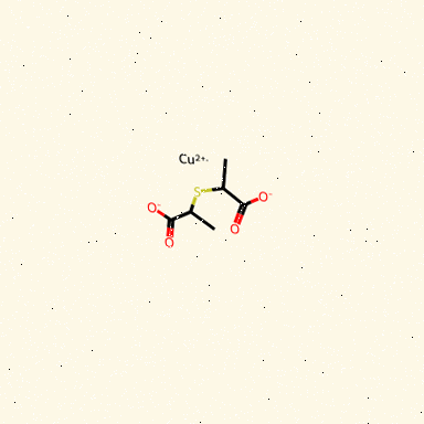 CC(SC(C)C(=O)[O-])C(=O)[O-].[Cu+2]